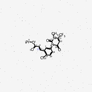 CC(C)OC(=O)/C=C/c1cc(-n2c(=O)cc(C(F)(F)F)n(C)c2=O)ccc1Cl